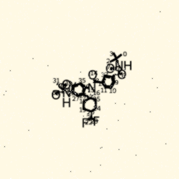 CC(C)(C)NS(=O)(=O)c1cccc(C(=O)N2C[C@]3(CC[C@H](C(F)F)CC3)c3cc(NS(C)(=O)=O)ccc32)c1